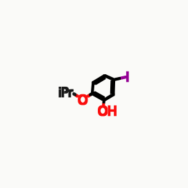 CC(C)Oc1ccc(I)cc1O